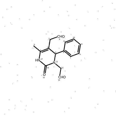 CC1=C(CC=O)C(c2ccccc2)N(CC=O)C(=O)N1